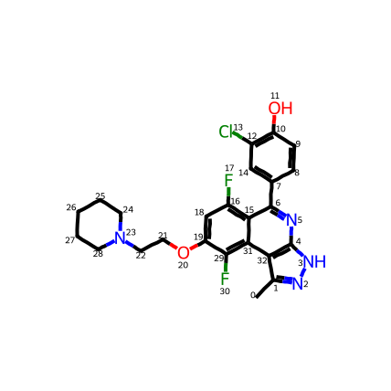 Cc1n[nH]c2nc(-c3ccc(O)c(Cl)c3)c3c(F)cc(OCCN4CCCCC4)c(F)c3c12